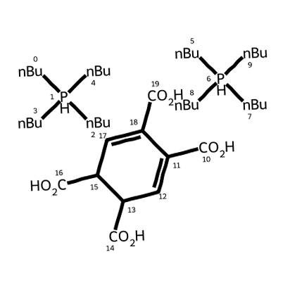 CCCC[PH](CCCC)(CCCC)CCCC.CCCC[PH](CCCC)(CCCC)CCCC.O=C(O)C1=CC(C(=O)O)C(C(=O)O)C=C1C(=O)O